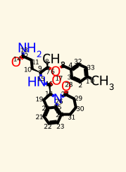 Cc1ccc(CO[C@H](C)[C@H](CCC(N)=O)NC(=O)[C@@H]2Cc3cccc4c3N2C(=O)CCC4)cc1